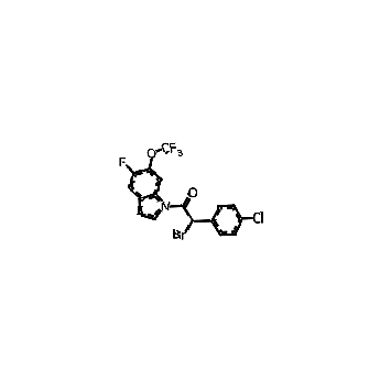 O=C(C(Br)c1ccc(Cl)cc1)n1ccc2cc(F)c(OC(F)(F)F)cc21